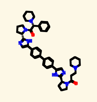 O=C(CCN1CCCCC1)N1CCC[C@H]1c1ncc(-c2ccc(-c3ccc(-c4cnc([C@@H]5CCCN5C(=O)[C@@H](c5ccccc5)N5CCCCC5)[nH]4)cc3)cc2)[nH]1